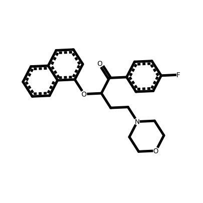 O=C(c1ccc(F)cc1)C(CCN1CCOCC1)Oc1cccc2ccccc12